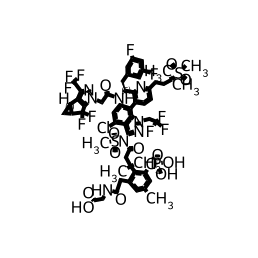 Cc1cc(CC(=O)NCC(=O)O)c(C(C)(C)CC(=O)N(c2nn(CC(F)(F)F)c3c(-c4ccc(CCC(C)(C)S(C)(=O)=O)nc4[C@H](Cc4cc(F)cc(F)c4)NC(=O)Cn4nc(C(F)(F)F)c5c4C(F)(F)C4C[C@H]54)ccc(Cl)c23)S(C)(=O)=O)c(OP(=O)(O)O)c1